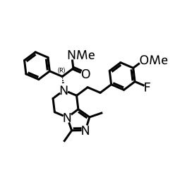 CNC(=O)[C@@H](c1ccccc1)N1CCn2c(C)nc(C)c2C1CCc1ccc(OC)c(F)c1